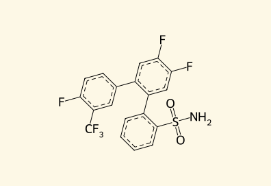 NS(=O)(=O)c1ccccc1-c1cc(F)c(F)cc1-c1ccc(F)c(C(F)(F)F)c1